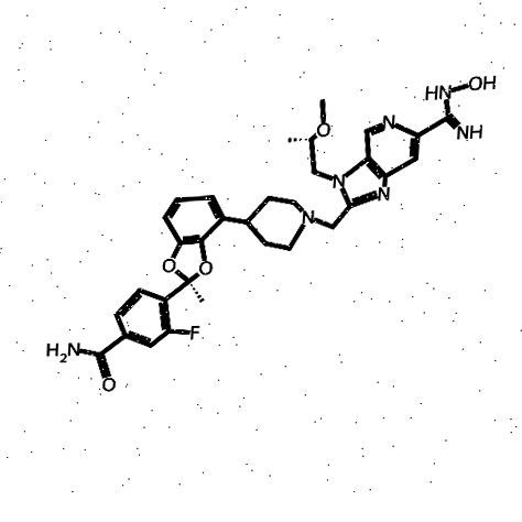 CO[C@@H](C)Cn1c(CN2CCC(c3cccc4c3O[C@@](C)(c3ccc(C(N)=O)cc3F)O4)CC2)nc2cc(C(=N)NO)ncc21